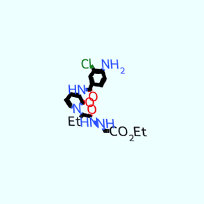 CCOC(=O)CNNC(=O)C(CC)n1cccc(NC(=O)c2ccc(N)c(Cl)c2)c1=O